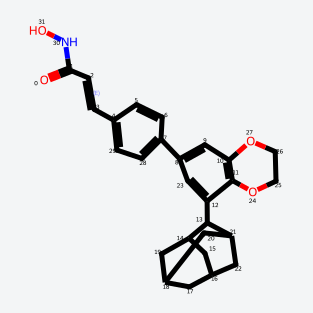 O=C(/C=C/c1ccc(-c2cc3c(c(C4C5CC6CC(C5)CC4C6)c2)OCCO3)cc1)NO